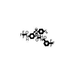 CSc1ccc(S(=O)(=O)C[C@@H]2C[C@H](NC(=O)C(F)(F)F)CC[C@@H]2NC(=O)CNC(=O)c2cccc(C(F)(F)F)c2)cc1